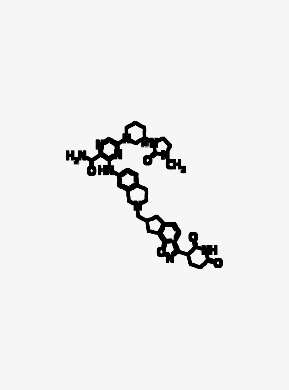 CN1CCN([C@@H]2CCCN(c3cnc(C(N)=O)c(Nc4ccc5c(c4)CN(CC4Cc6ccc7c(C8CCC(=O)NC8=O)noc7c6C4)CC5)n3)C2)C1=O